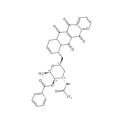 C[C@H]1O[C@@H](CC2C=CCC3C(=O)C4=C(C(=O)c5ccccc5C4=O)C(=O)C23)C[C@H](NC(=O)C(F)(F)F)[C@H]1OC(=O)c1ccccc1